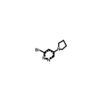 Brc1cc(N2CCCC2)cnn1